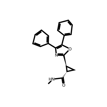 CNC(=O)[C@H]1C[C@@H]1c1nc(-c2ccccc2)c(-c2ccccc2)o1